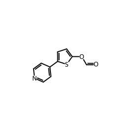 O=COc1ccc(-c2ccncc2)s1